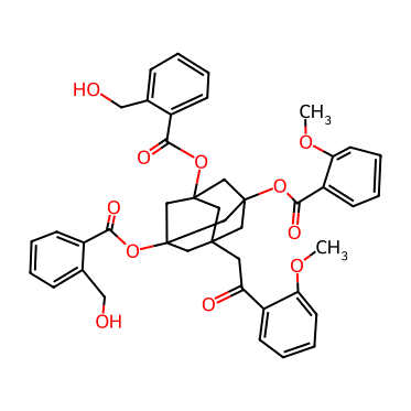 COc1ccccc1C(=O)CC12CC3(OC(=O)c4ccccc4CO)CC(OC(=O)c4ccccc4CO)(C1)CC(OC(=O)c1ccccc1OC)(C2)C3